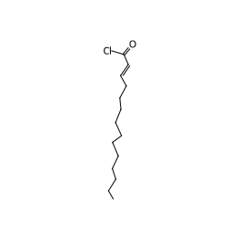 CCCCCCCCCCC/C=C/C(=O)Cl